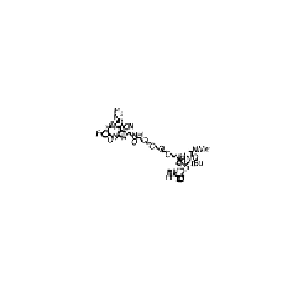 CC[C@@H](NC(=O)[C@@H]1C[C@H](NCCOCCOCCOCCOCCC(=O)NCCN2N=CC3C(=C2C#N)c2cnc(N)c(n2)O[C@H](C)c2cc(F)ccc2C(=O)N3C)CN1C(=O)[C@@H](NC(=O)[C@H](C)NC)C(C)(C)C)c1ccccc1